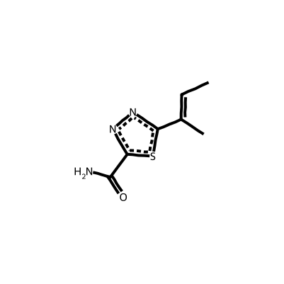 CC=C(C)c1nnc(C(N)=O)s1